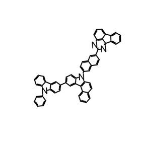 c1ccc(-n2c3ccccc3c3cc(-c4ccc5c(c4)c4c6ccccc6ccc4n5-c4ccc5cc(-c6nc7c8c(cccc8n6)-c6ccccc6-7)ccc5c4)ccc32)cc1